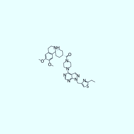 CCc1nc(Cn2ncc3c(N4CCN(C(=O)[C@H]5CC[C@@]6(CC5)NCCc5cc(OC)c(OC)cc56)CC4)ncnc32)cs1